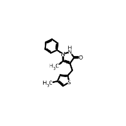 Cc1csc(Cc2c(C)n(-c3ccccc3)[nH]c2=O)c1